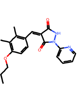 CCCOc1ccc(C=C2C(=O)NN(c3ccccn3)C2=O)c(C)c1C